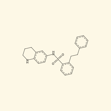 O=S(=O)(Nc1ccc2c(c1)CCCN2)c1ccccc1CCc1ccccc1